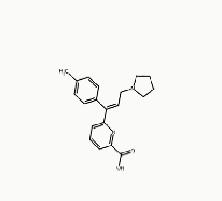 Cc1ccc(/C(=C\CN2CCCC2)c2cccc(C(=O)O)n2)cc1